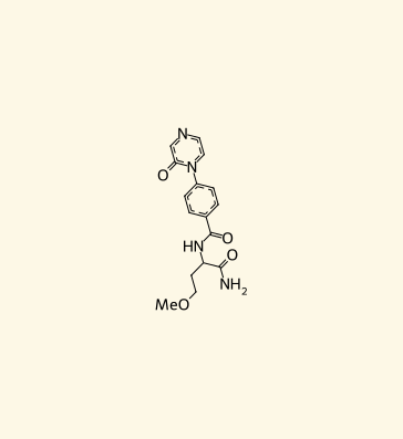 COCCC(NC(=O)c1ccc(-n2ccncc2=O)cc1)C(N)=O